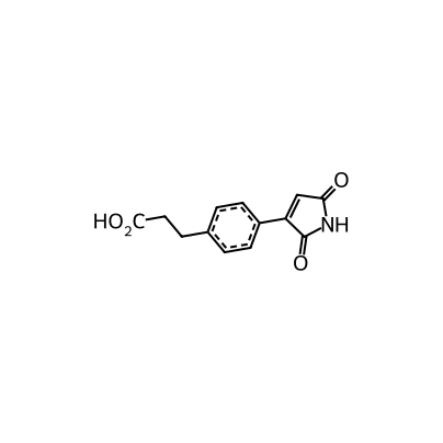 O=C(O)CCc1ccc(C2=CC(=O)NC2=O)cc1